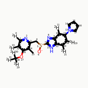 [2H]c1nc(C[S+]([O-])c2nc3c([2H])c(-n4cccc4)c([2H])c([2H])c3[nH]2)c(C)c(OC([2H])([2H])[2H])c1[2H]